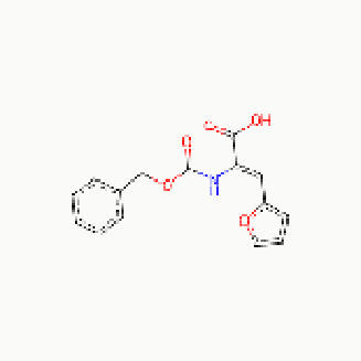 O=C(N/C(=C\c1ccco1)C(=O)O)OCc1ccccc1